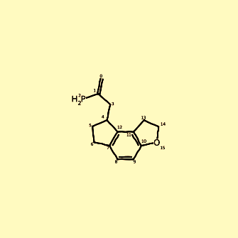 C=C(P)CC1CCc2ccc3c(c21)CCO3